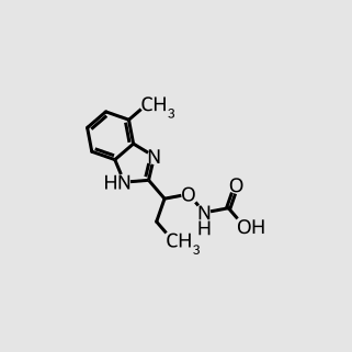 CCC(ONC(=O)O)c1nc2c(C)cccc2[nH]1